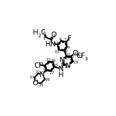 C=CC(=O)Nc1cc(F)cc(-c2nc(Nc3ccc(Cl)c(N4CCOCC4)c3)ncc2OC(F)(F)F)c1